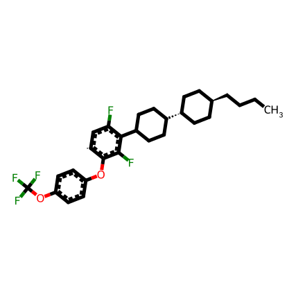 CCCC[C@H]1CC[C@H](C2CCC(c3c(F)c[c]c(Oc4ccc(OC(F)(F)F)cc4)c3F)CC2)CC1